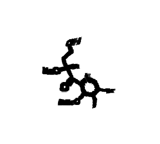 COc1c(C(=O)C(C)(CCO)OC)ncc(Br)c1C